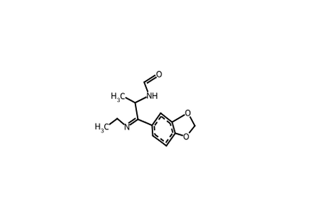 CC/N=C(/c1ccc2c(c1)OCO2)C(C)NC=O